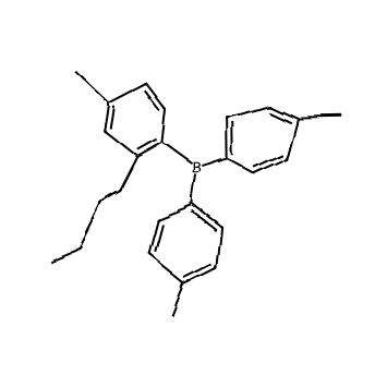 CCCCc1cc(C)ccc1B(c1ccc(C)cc1)c1ccc(C)cc1